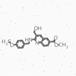 COC(=O)c1ccc2nc(NCc3ccc(OC)cc3)c(CO)cc2c1